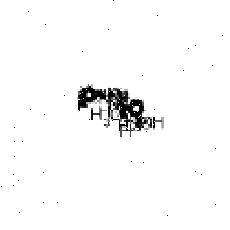 Cc1[nH]c2c(B(O)O)cccc2c1-c1ncnc(NCc2cccc(F)c2)n1